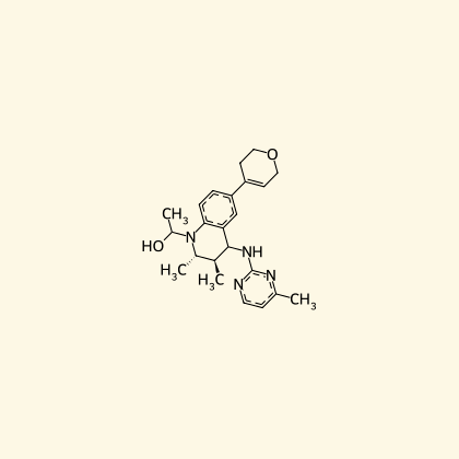 Cc1ccnc(NC2c3cc(C4=CCOCC4)ccc3N(C(C)O)[C@@H](C)[C@@H]2C)n1